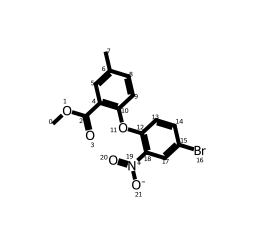 COC(=O)c1cc(C)ccc1Oc1ccc(Br)cc1[N+](=O)[O-]